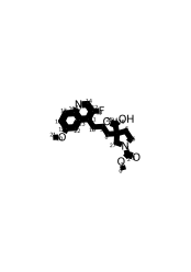 COC(=O)N1CCC(CCCc2c(F)cnc3ccc(OC)cc23)(C(=O)O)C1